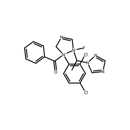 CC(n1cncn1)[N+]1(F)C=NC[N+]1(C(=O)c1ccccc1)c1ccc(Cl)cc1Cl